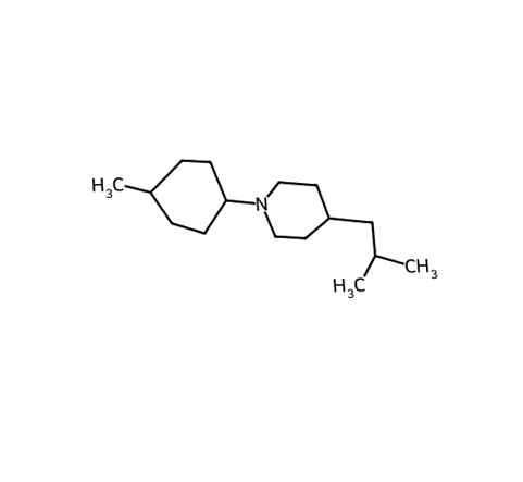 CC(C)CC1CCN(C2CCC(C)CC2)CC1